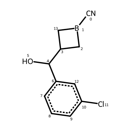 N#CB1CC(C(O)c2cccc(Cl)c2)C1